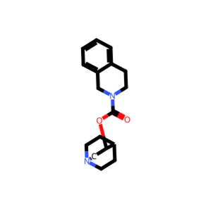 O=C(OC1CN2CCC1CC2)N1CCc2ccccc2C1